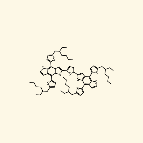 CCCCC(CC)Cc1ccc(-c2c3cc(-c4ccc(-c5cc6c(-c7ccc(CC(CC)CCCC)s7)c7sccc7c(-c7ccc(CC(CC)CCCC)s7)c6s5)s4)sc3c(-c3ccc(CC(CC)CCCC)s3)c3ccsc23)s1